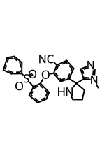 Cn1cncc1C1(c2ccc(C#N)c(Oc3ccccc3S(=O)(=O)c3ccccc3)c2)CCCN1